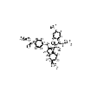 C=CC(c1ccc(C(C)C)cc1)S(=O)(=O)n1c(Cc2ccc(C(=O)OC)cc2)cc2cc(C(F)(F)F)ccc21